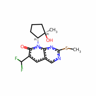 CSc1ncc2cc(C(F)F)c(=O)n([C@@H]3CCC[C@@]3(C)O)c2n1